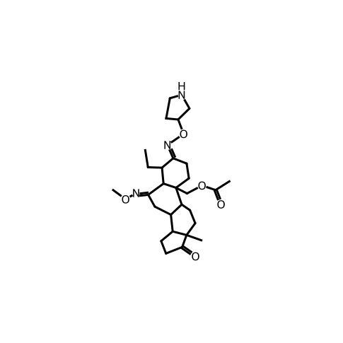 CCC1C(=NOC2CCNC2)CCC2(COC(C)=O)C3CCC4(C)C(=O)CCC4C3CC(=NOC)C12